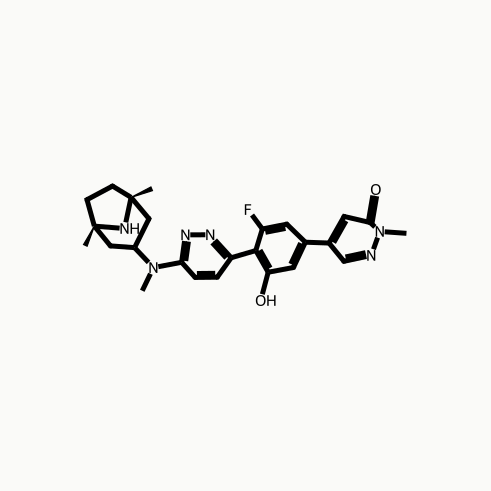 CN(c1ccc(-c2c(O)cc(-c3cnn(C)c(=O)c3)cc2F)nn1)C1C[C@]2(C)CC[C@](C)(C1)N2